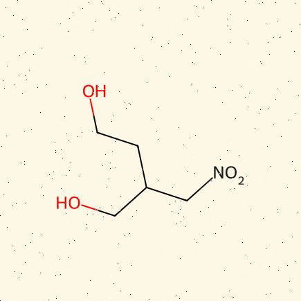 O=[N+]([O-])CC(CO)CCO